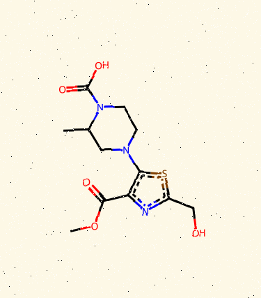 COC(=O)c1nc(CO)sc1N1CCN(C(=O)O)C(C)C1